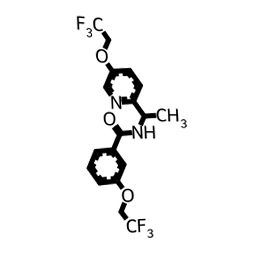 CC(NC(=O)c1cccc(OCC(F)(F)F)c1)c1ccc(OCC(F)(F)F)cn1